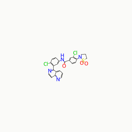 O=C(Nc1ccc(Cl)c(-c2nccc3ncccc23)c1)c1ccc(N2CCCS2(=O)=O)c(Cl)c1